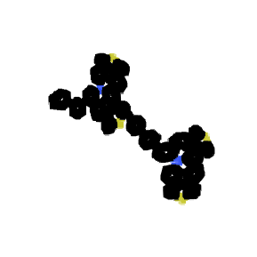 c1ccc(-c2cccc(-c3ccc(N(c4cccc5c4-c4ccccc4C54c5ccccc5Sc5ccccc54)c4cccc5c4-c4ccccc4C54c5ccccc5Sc5c(-c6ccc(-c7ccc(-c8ccc(N(c9cccc%10c9-c9ccccc9C%109c%10ccccc%10Sc%10ccccc%109)c9cccc%10c9-c9ccccc9C%109c%10ccccc%10Sc%10ccccc%109)cc8)cc7)cc6)cccc54)cc3)c2)cc1